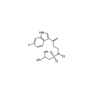 C=C(CCN(CC)S(=O)(=O)CC(CCC)CCC)c1c[nH]c2cc(I)ccc12